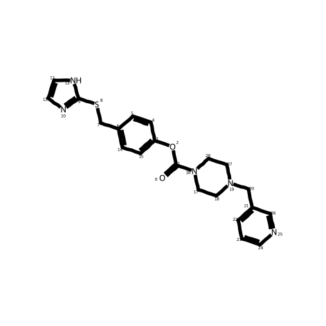 O=C(Oc1ccc(CSc2ncc[nH]2)cc1)N1CCN(Cc2cccnc2)CC1